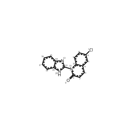 O=c1ccc2cc(Cl)ccc2n1-c1nc2ccccc2[nH]1